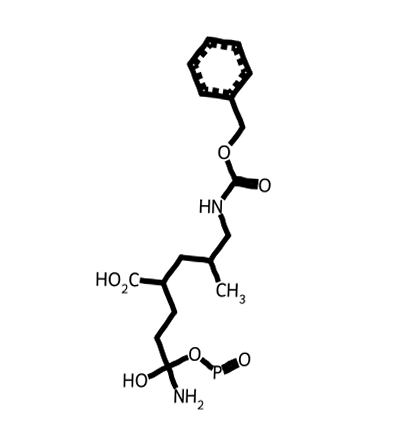 CC(CNC(=O)OCc1ccccc1)CC(CCC(N)(O)OP=O)C(=O)O